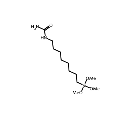 CO[Si](CCCCCCCCNC(N)=O)(OC)OC